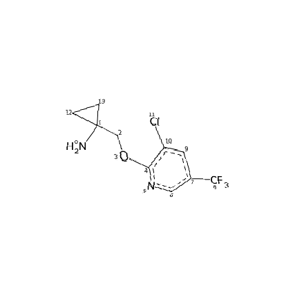 NC1(COc2ncc(C(F)(F)F)cc2Cl)CC1